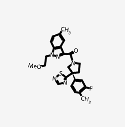 COCCn1nc(C(=O)N2CC[C@](c3ccc(C)c(F)c3)(c3ncns3)C2)c2cc(C)ccc21